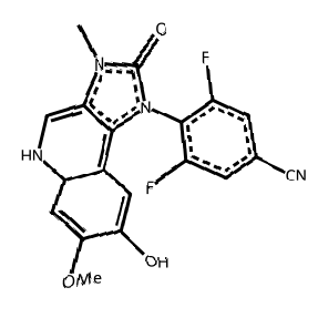 COC1=CC2NC=c3c(n(-c4c(F)cc(C#N)cc4F)c(=O)n3C)=C2C=C1O